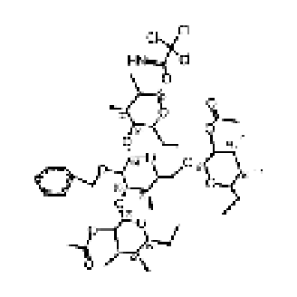 CCC1O[C@H](OCC2O[C@@H](O[C@@H]3C(CC)O[C@@H](OC(=N)C(Cl)(Cl)Cl)C(C)[C@@H]3C)C(OCc3ccccc3)[C@H](O[C@H]3O[C@@H](CC)[C@@H](C)C(C)C3OC(C)=O)[C@@H]2C)C(OC(C)=O)[C@H](C)[C@@H]1C